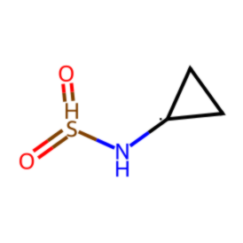 O=[SH](=O)N[C]1CC1